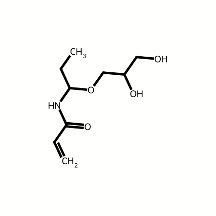 C=CC(=O)NC(CC)OCC(O)CO